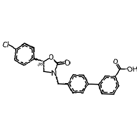 O=C(O)c1cccc(-c2ccc(CN3C[C@@H](c4ccc(Cl)cc4)OC3=O)cc2)c1